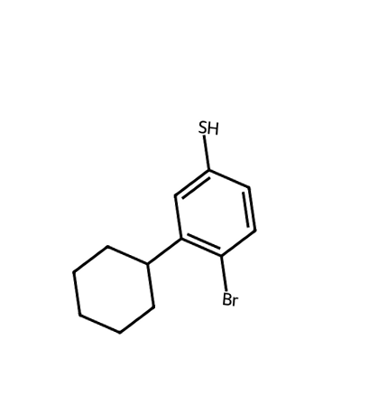 Sc1ccc(Br)c(C2CCCCC2)c1